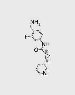 NCc1ccc(NC(=O)[C@H]2C[C@@H]2c2cccnc2)cc1F